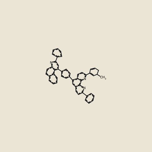 CC1C=C(c2ccc3c(-c4ccc(-c5cc(-c6ccccc6)nc6ccc7ccccc7c56)cc4)cc4ccc(-c5ccccc5)nc4c3n2)C=CC1